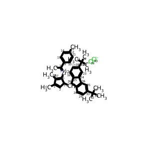 CC1=CC(C)[C](/[Zr+2](=[C](\C)c2ccc(C)cc2)[c]2cc(C(C)(C)C)cc3c2Cc2ccc(C(C)(C)C)cc2-3)=C1C.[Cl-].[Cl-]